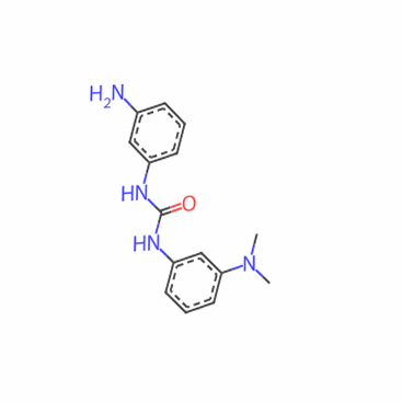 CN(C)c1cccc(NC(=O)Nc2cccc(N)c2)c1